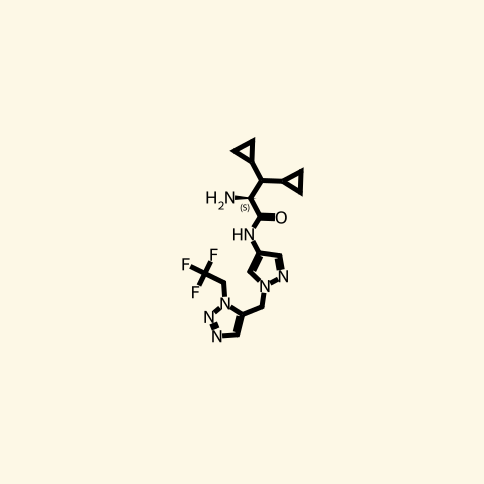 N[C@H](C(=O)Nc1cnn(Cc2cnnn2CC(F)(F)F)c1)C(C1CC1)C1CC1